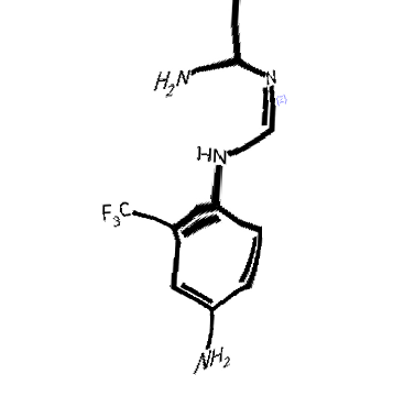 CC(N)/N=C\Nc1ccc(N)cc1C(F)(F)F